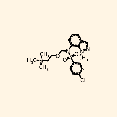 Cn1ncc2cccc(N(COCC[Si](C)(C)C)S(=O)(=O)c3ccc(Cl)nc3)c21